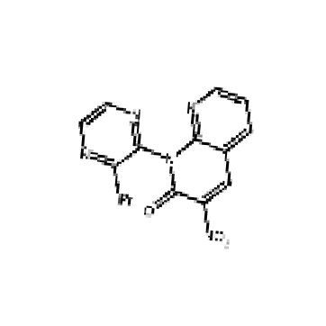 CC(C)c1nccnc1-n1c(=O)c([N+](=O)[O-])cc2cccnc21